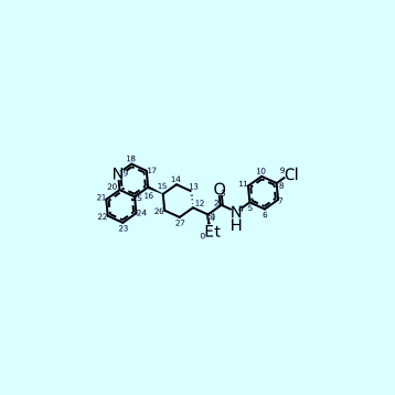 CC[C@H](C(=O)Nc1ccc(Cl)cc1)[C@H]1CC[C@H](c2ccnc3ccccc32)CC1